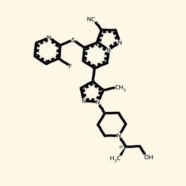 Cc1c(-c2cc(Sc3ncccc3F)c3c(C#N)cnn3c2)cnn1C1CCN([C@H](C)CO)CC1